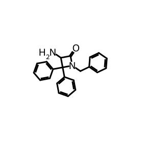 NC1C(=O)N(Cc2ccccc2)C1(c1ccccc1)c1ccccc1